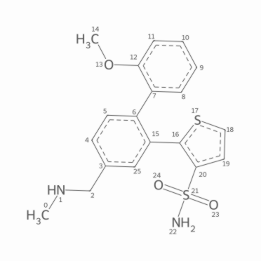 CNCc1ccc(-c2ccccc2OC)c(-c2sccc2S(N)(=O)=O)c1